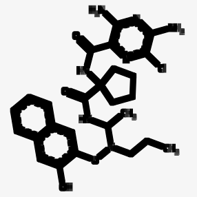 CCCN(Oc1cc2ccccc2cc1O)C(C)NC(=O)C1(NC(=O)c2nc(Cl)c(N)nc2N)CCCC1